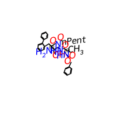 CCCCCC(=O)NC(=O)[C@@](N)(Cc1ccccc1-c1ccccc1)C(CO)CNC(=O)[C@H](C)NC(=O)OCc1ccccc1